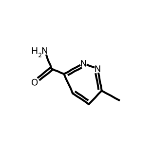 Cc1ccc(C(N)=O)nn1